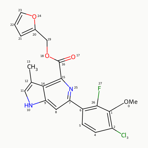 COc1c(Cl)ccc(-c2cc3[nH]cc(C)c3c(C(=O)OCc3ccco3)n2)c1F